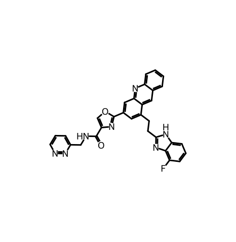 O=C(NCc1cccnn1)c1coc(-c2cc(CCc3nc4c(F)cccc4[nH]3)c3cc4ccccc4nc3c2)n1